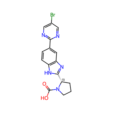 O=C(O)N1CCC[C@H]1c1nc2cc(-c3ncc(Br)cn3)ccc2[nH]1